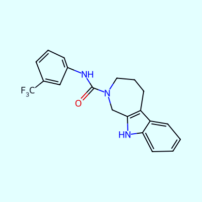 O=C(Nc1cccc(C(F)(F)F)c1)N1CCCc2c([nH]c3ccccc23)C1